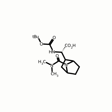 CN(C)C(=O)N1C2CCC1C([C@H](NC(=O)OC(C)(C)C)C(=O)O)C2